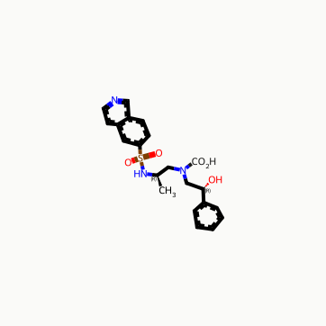 C[C@H](CN(C[C@H](O)c1ccccc1)C(=O)O)NS(=O)(=O)c1ccc2cnccc2c1